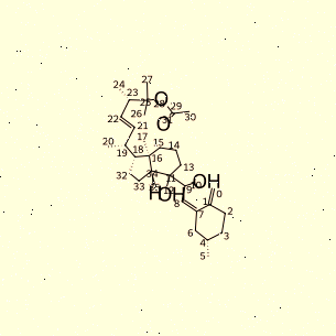 C=C1CC[C@H](C)C/C1=C/C(O)C1(O)CCC[C@]2(C)[C@@H]([C@H](C)/C=C/[C@H](C)C(C)(C)OC(C)=O)CC[C@@H]12